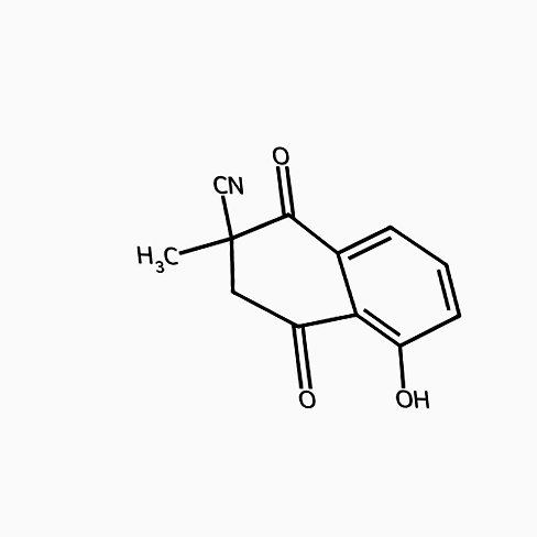 CC1(C#N)CC(=O)c2c(O)cccc2C1=O